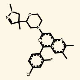 Cc1cc2c(-c3ccc(Cl)cc3F)nc(N3CCO[C@H](C4(C)C=NN(C)C4)C3)cc2nc1C